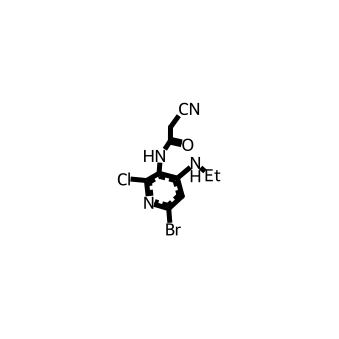 CCNc1cc(Br)nc(Cl)c1NC(=O)CC#N